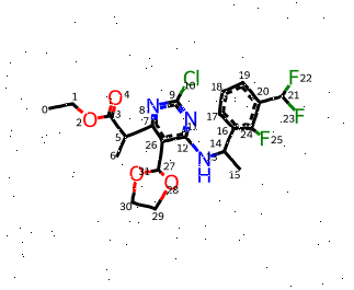 CCOC(=O)C(C)c1nc(Cl)nc(NC(C)c2cccc(C(F)F)c2F)c1C1OCCO1